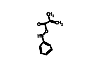 C=C(C)C(=O)ONc1ccccc1